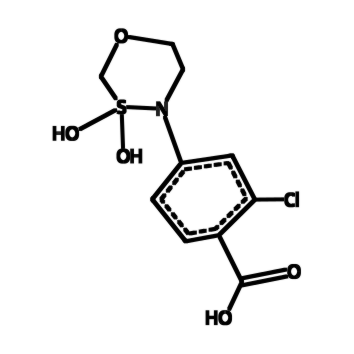 O=C(O)c1ccc(N2CCOCS2(O)O)cc1Cl